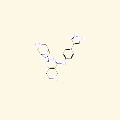 CN1CCc2nc(N3C4CCC3CNC4)nc(Nc3ccc(-c4cn[nH]c4)cc3)c2C1